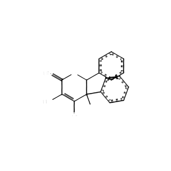 N=C1OC(c2ccccc2)C(O)(c2ccccc2)C(O)=C1O